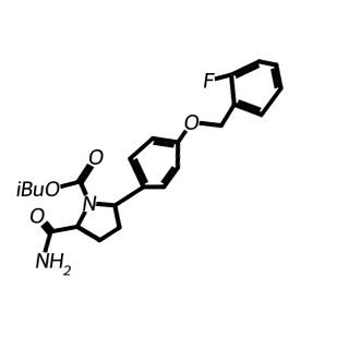 CC(C)COC(=O)N1C(C(N)=O)CCC1c1ccc(OCc2ccccc2F)cc1